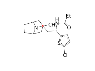 CCC(=O)N[C@@H](CCN1C2CCC1CC(C)C2)c1ccc(Cl)s1